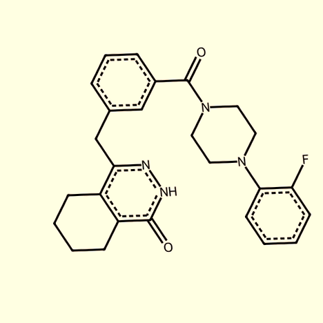 O=C(c1cccc(Cc2n[nH]c(=O)c3c2CCCC3)c1)N1CCN(c2ccccc2F)CC1